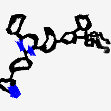 CC1(C)c2ccccc2-c2cc(-c3ccc(-c4cc(-c5ccccc5)nc(-c5ccc(-c6cccnc6)cc5)n4)cc3)ccc21